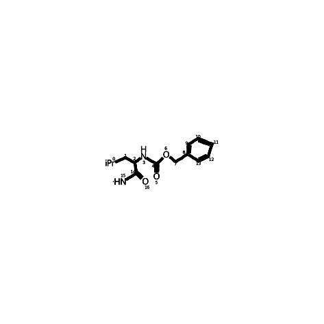 CC(C)CC(NC(=O)OCc1ccccc1)C([NH])=O